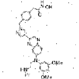 COc1cc(OC)cc(N(CCNC(C)C)c2ccc3ncc(-c4cnn(Cc5ccc(CC(=O)NO)cc5)c4)nc3c2)c1